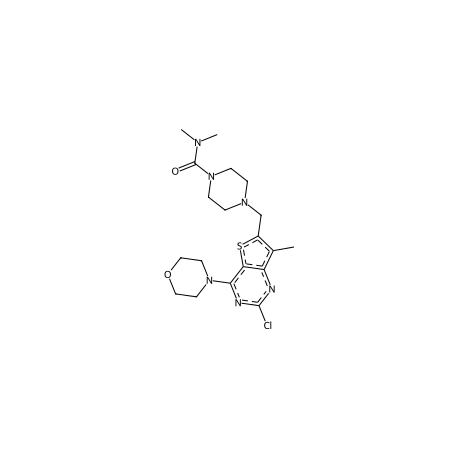 Cc1c(CN2CCN(C(=O)N(C)C)CC2)sc2c(N3CCOCC3)nc(Cl)nc12